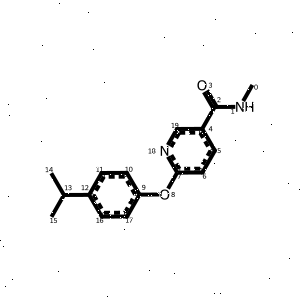 CNC(=O)c1ccc(Oc2ccc(C(C)C)cc2)nc1